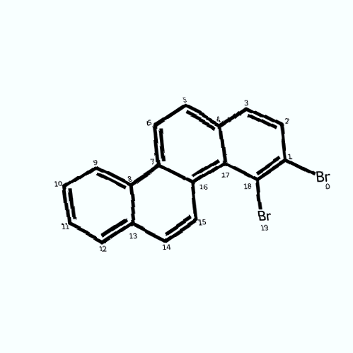 Brc1ccc2ccc3c4ccccc4ccc3c2c1Br